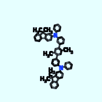 Cc1cc(-c2cccc(N(c3ccccc3)c3ccc4c(c3)C(C)(C)c3ccccc3-4)c2)c(C)cc1-c1cccc(N(c2ccccc2)c2ccc3c(c2)C(C)(C)c2ccccc2-3)c1